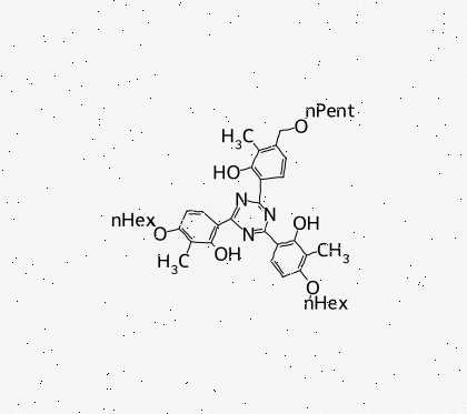 CCCCCCOc1ccc(-c2nc(-c3ccc(COCCCCC)c(C)c3O)nc(-c3ccc(OCCCCCC)c(C)c3O)n2)c(O)c1C